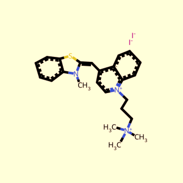 CN1C(=Cc2cc[n+](CCC[N+](C)(C)C)c3ccccc23)Sc2ccccc21.[I-].[I-]